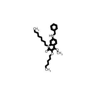 CCCCCCCCn1c(=O)c(OCCCCCC)c(OC)c2ccc(NCc3ccccc3)cc21